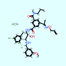 C=CCO/N=C(\C)c1cc(C(=O)N[C@@H](Cc2cc(F)cc(F)c2)[C@H](O)CNCc2cccc(OC)c2)cc(C(=O)N(C)CCC)c1.Cl